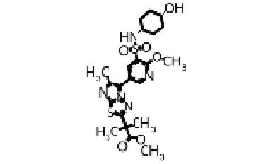 COC(=O)C(C)(C)c1nn2c(-c3cnc(OC)c(S(=O)(=O)N[C@H]4CC[C@@H](O)CC4)c3)c(C)nc2s1